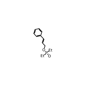 CCP(=O)(CC)OC/C=C/c1ccccc1